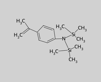 C=C(C)c1ccc(N([Si](C)(C)C)[Si](C)(C)C)cc1